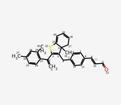 C=C(C1=C(Cc2ccc(/C=C/C=O)cc2)C2(C)CC=CC=C2S1)c1ccc(C)cc1C